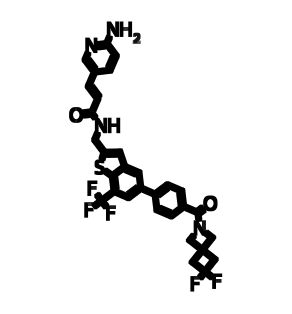 Nc1ccc(/C=C/C(=O)NCc2cc3cc(-c4ccc(C(=O)N5CC6(C5)CC(F)(F)C6)cc4)cc(C(F)(F)F)c3s2)cn1